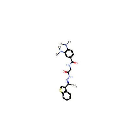 CCN(CC)c1ccc(C(=O)NCC(=O)N/N=C(\C)c2csc3ccccc23)cc1N(CC)CC